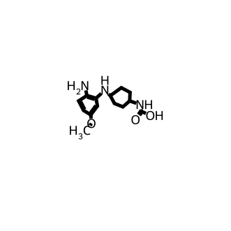 COc1ccc(N)c(NC2CCC(NC(=O)O)CC2)c1